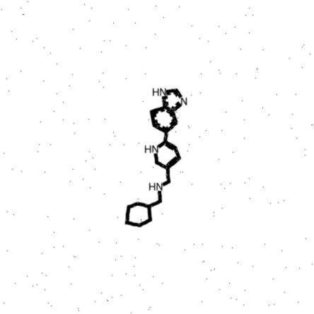 C1=C(CNCC2CCCCC2)CNC(c2ccc3[nH]cnc3c2)=C1